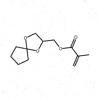 C=C(C)C(=O)OCC1COC2(CCCC2)O1